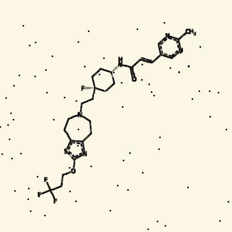 Cc1ncc(/C=C/C(=O)N[C@H]2CC[C@](F)(CCN3CCc4nc(OCCC(F)(F)F)sc4CC3)CC2)cn1